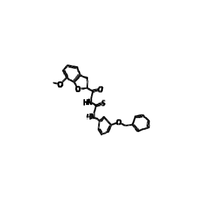 COc1cccc2c1OC(C(=O)NC(=S)Nc1cccc(OCc3ccccc3)c1)C2